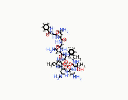 CCNC(=O)C(NC(=O)[C@H](CCN)NC(=O)[C@H](CCN)NC(=O)[C@H](CC(C)C)NC(=O)[C@@H](Cc1ccccc1)NC(=O)[C@H](CCN)NC(=O)CNC(=O)[C@H](CCN)NC(=O)CNC(=O)C1CCCCC1)C(C)O